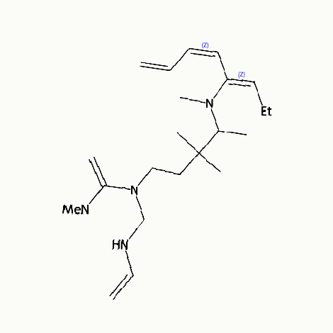 C=C/C=C\C(=C\CC)N(C)C(C)C(C)(C)CCN(CNC=C)C(=C)NC